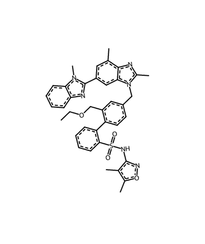 CCOCc1cc(Cn2c(C)nc3c(C)cc(-c4nc5ccccc5n4C)cc32)ccc1-c1ccccc1S(=O)(=O)Nc1noc(C)c1C